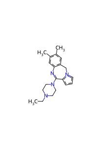 CCN1CCN(C2=Nc3cc(C)c(C)cc3Cn3cccc32)CC1